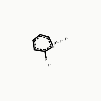 Fc1ccccn1.[B+3].[F-].[F-].[F-]